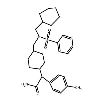 Cc1ccc(C(C(N)=O)C2CCC(CN(CC3CCCCC3)S(=O)(=O)c3ccccc3)CC2)cc1